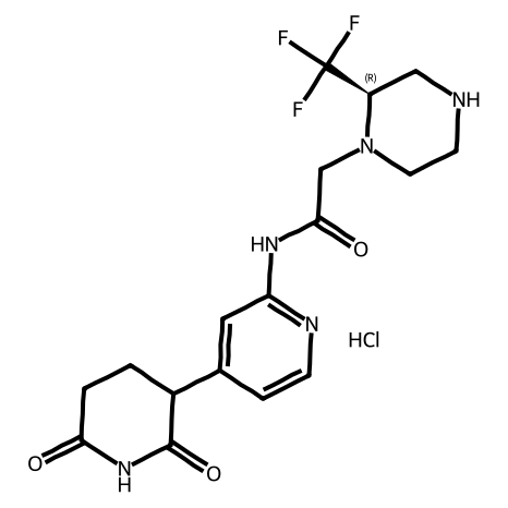 Cl.O=C1CCC(c2ccnc(NC(=O)CN3CCNC[C@@H]3C(F)(F)F)c2)C(=O)N1